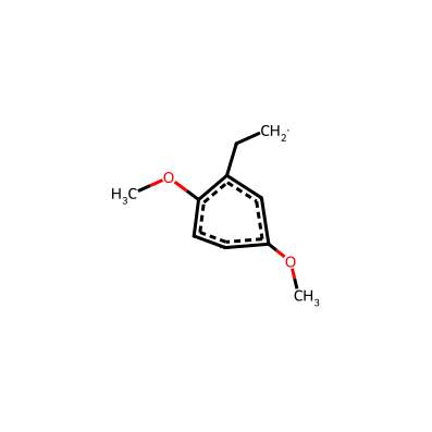 [CH2]Cc1cc(OC)[c]cc1OC